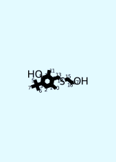 Cc1cc(C(C)(C)C)c(O)c(C)c1CSCCO